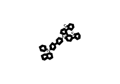 c1ccc(N(c2ccc(-c3ccc(-n4c5ccc6c7ccccc7sc6c5c5c6c(ccc54)sc4ccccc46)cc3)cc2)c2cccc3ccccc23)cc1